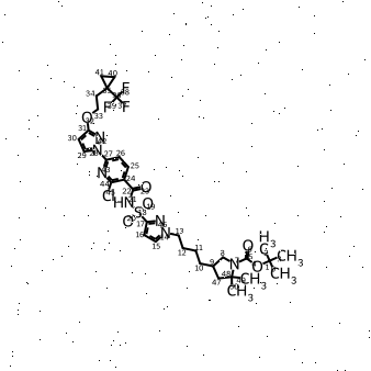 CC(C)(C)OC(=O)N1CC(CCCCn2ccc(S(=O)(=O)NC(=O)c3ccc(-n4ccc(OCCC5(C(F)(F)F)CC5)n4)nc3Cl)n2)CC1(C)C